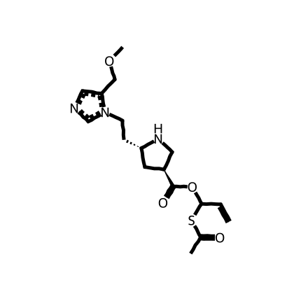 C=CC(OC(=O)[C@@H]1CN[C@@H](CCn2cncc2COC)C1)SC(C)=O